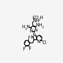 Nc1nc(-n2nc(Cc3c(F)ccc(F)c3F)c3nc(Cl)ccc32)nc(N)c1CNC(=O)O